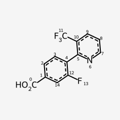 O=C(O)c1ccc(-c2ncccc2C(F)(F)F)c(F)c1